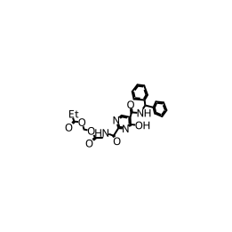 CCC(=O)OCOC(=O)CNC(=O)c1ncc(C(=O)NC(c2ccccc2)c2ccccc2)c(O)n1